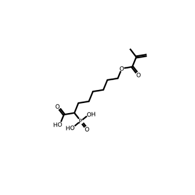 C=C(C)C(=O)OCCCCCCC(C(=O)O)P(=O)(O)O